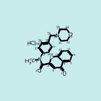 CN(C(=O)c1cc(=O)c2ccccc2o1)c1ccc(CN2CCOCC2)cc1.Cl